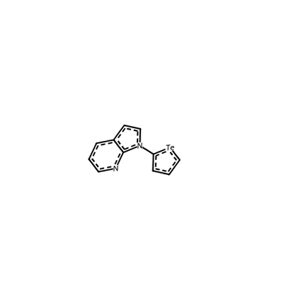 c1c[te]c(-n2ccc3cccnc32)c1